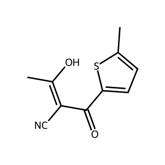 CC(O)=C(C#N)C(=O)c1ccc(C)s1